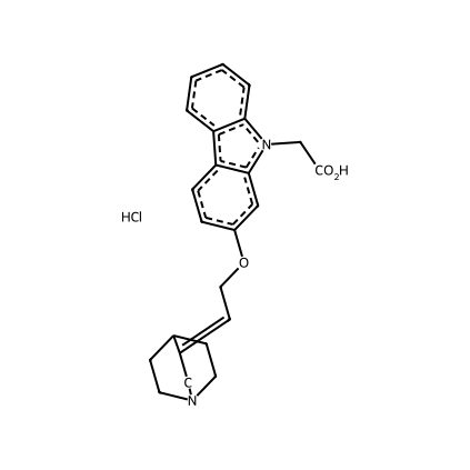 Cl.O=C(O)Cn1c2ccccc2c2ccc(OCC=C3CN4CCC3CC4)cc21